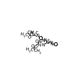 C=C(C)C(=O)OCCCN(CC)c1ccc(/N=N/c2sc(/N=N/c3ccccc3)cc2C#N)c(NC(=O)CCOC(=O)C(=C)C)c1